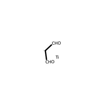 O=C[CH]C=O.[Ti]